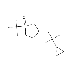 CC(C)(CC1CCP(=O)(C(C)(C)C)C1)C1CC1